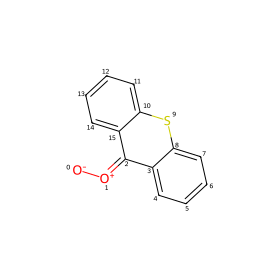 [O-][O+]=c1c2ccccc2sc2ccccc12